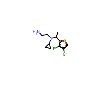 CC(c1scc(Br)c1F)N(CCN)C1CC1